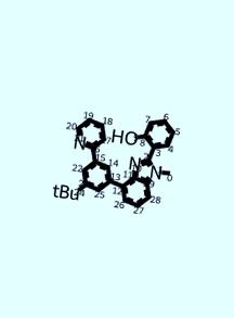 Cn1c(-c2ccccc2O)nc2c(-c3cc(-c4ccccn4)cc(C(C)(C)C)c3)cccc21